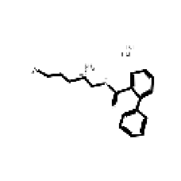 Cl.Cl.NCCC[C@H](N)CNC(=O)c1ccccc1-c1ccccc1